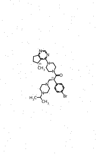 CC(C)N1CCN(C[C@@H](C(=O)N2CCN(c3ncnc4c3[C@H](C)CC4)CC2)c2ccc(Br)cc2)CC1